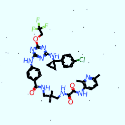 Cc1ccc(NC(=O)C(=O)NCC(C)(C)CNC(=O)c2ccc(Nc3nc(NC4(c5ccc(Cl)cc5)CC4)nc(OCC(F)(F)F)n3)cc2)c(C)n1